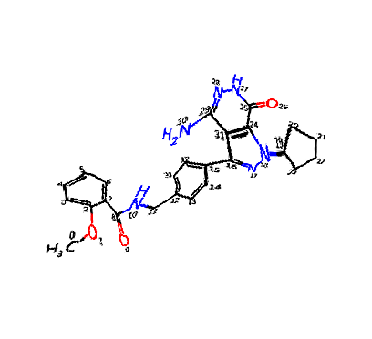 COc1ccccc1C(=O)NCc1ccc(-c2nn(C3CCCC3)c3c(=O)[nH]nc(N)c23)cc1